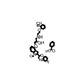 COc1ccccc1OCCNCC(O)COc1cccc2c1CC(C(CN)Oc1ccc(F)cc1)N2C=O.O=C(O)c1ccccc1